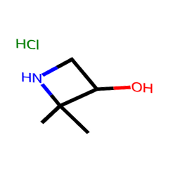 CC1(C)NCC1O.Cl